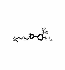 C[Si](C)(C)CCOCn1cc(-c2ccc(N)c([N+](=O)[O-])c2)cn1